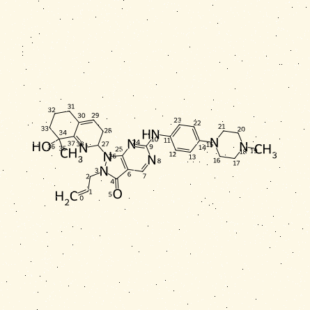 C=CCn1c(=O)c2cnc(Nc3ccc(N4CCN(C)CC4)cc3)nc2n1C1CC=C2CCCC(C)(O)C2=N1